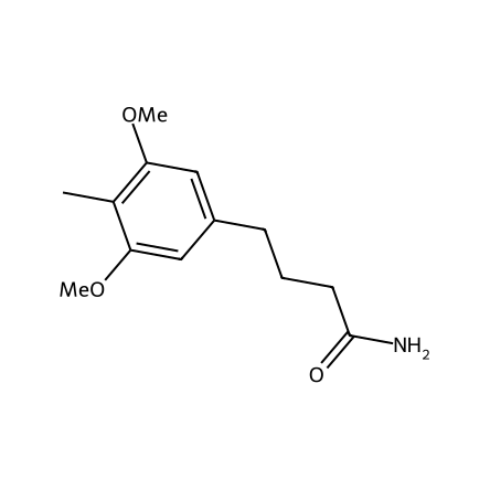 COc1cc(CCCC(N)=O)cc(OC)c1C